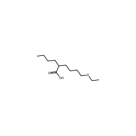 CCCCC(CCCCOCC)C(=O)O